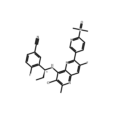 CC[C@H](Nc1c(Cl)c(C)nc2cc(F)c(-c3ccc(P(C)(C)=O)nc3)nc12)c1cc(C#N)ccc1F